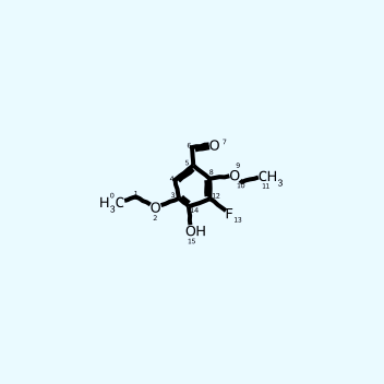 CCOc1cc(C=O)c(OCC)c(F)c1O